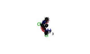 O=C(Cc1c(-c2ccccc2)c2cc(CN3CC[N+]([O-])(c4ccccc4)CC3)c(Cl)cc2oc1=O)Nc1ccc(Cl)cc1C(F)(F)F